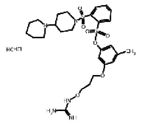 Cc1cc(OCCCONC(=N)N)cc(OS(=O)(=O)c2ccccc2S(=O)(=O)N2CCC(N3CCCCC3)CC2)c1.Cl.Cl